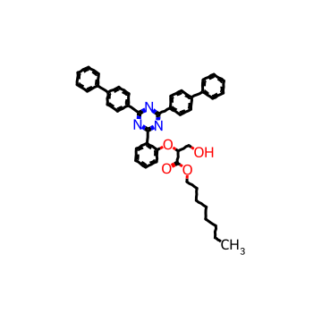 CCCCCCCCOC(=O)C(CO)Oc1ccccc1-c1nc(-c2ccc(-c3ccccc3)cc2)nc(-c2ccc(-c3ccccc3)cc2)n1